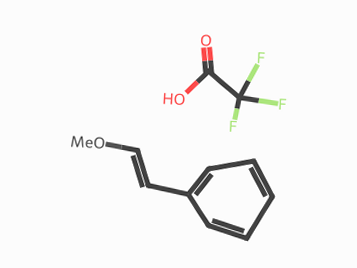 COC=Cc1ccccc1.O=C(O)C(F)(F)F